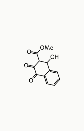 COC(=O)C1C(=O)C(=O)c2ccccc2C1O